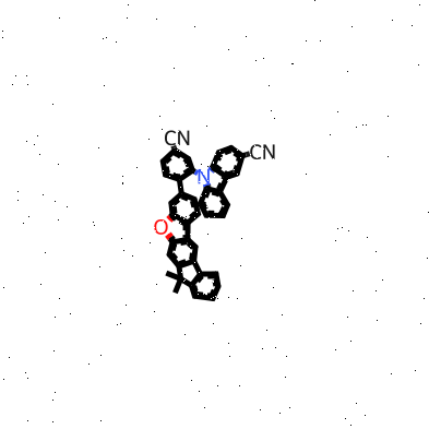 CC1(C)c2ccccc2-c2cc3c(cc21)oc1cc(-c2ccc(C#N)cc2-n2c4ccccc4c4cc(C#N)ccc42)ccc13